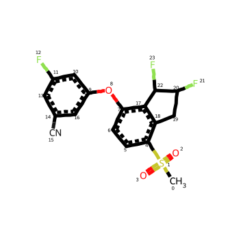 CS(=O)(=O)c1ccc(Oc2cc(F)cc(C#N)c2)c2c1CC(F)C2F